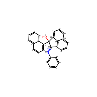 OC1(c2cccc3ccccc23)/C(=N/c2ccccc2)c2cccc3cccc1c23